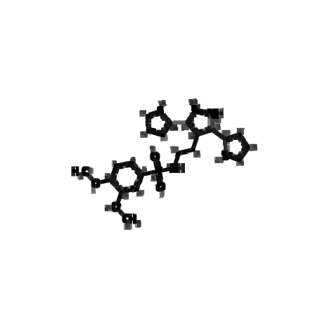 COc1ccc(S(=O)(=O)NCCc2c(-c3cccs3)n[nH]c2-c2cccs2)cc1OC